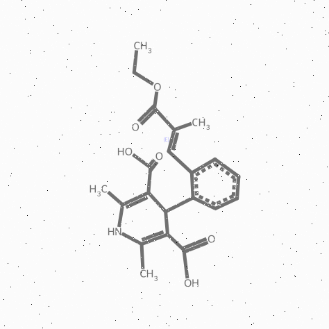 CCOC(=O)/C(C)=C/c1ccccc1C1C(C(=O)O)=C(C)NC(C)=C1C(=O)O